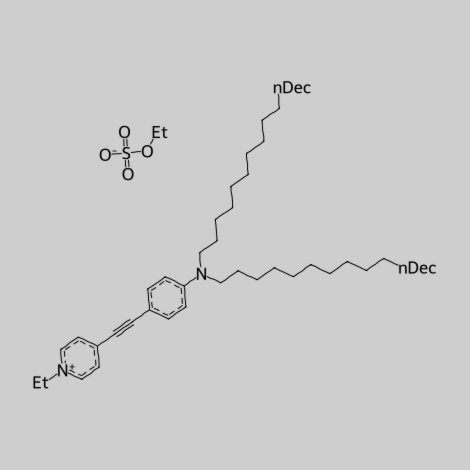 CCCCCCCCCCCCCCCCCCCCN(CCCCCCCCCCCCCCCCCCCC)c1ccc(C#Cc2cc[n+](CC)cc2)cc1.CCOS(=O)(=O)[O-]